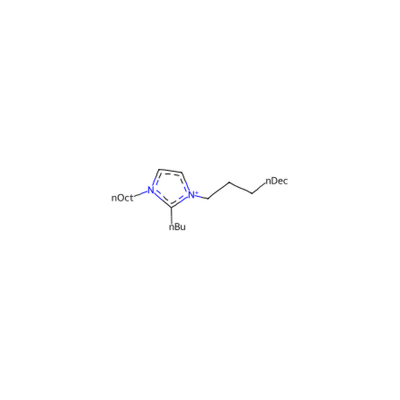 CCCCCCCCCCCCC[n+]1ccn(CCCCCCCC)c1CCCC